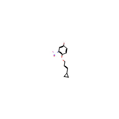 O=[N+]([O-])c1cc(Br)ccc1OC/C=C/C1CC1